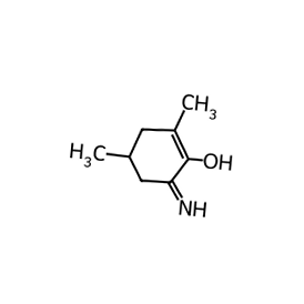 CC1=C(O)C(=N)CC(C)C1